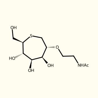 CC(=O)NCCO[C@H]1CS[C@H](CO)[C@@H](O)[C@H](O)[C@@H]1O